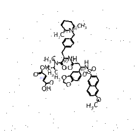 COc1ccc2cc(S(=O)(=O)N[C@H](CC(=O)N[C@H](Cc3ccc(CN4[C@H](C)CCC[C@@H]4C)cc3)C(=O)N(C)C(C)C)c3ccc4c(c3)OCO4)ccc2c1.O=C(O)/C=C/C(=O)O